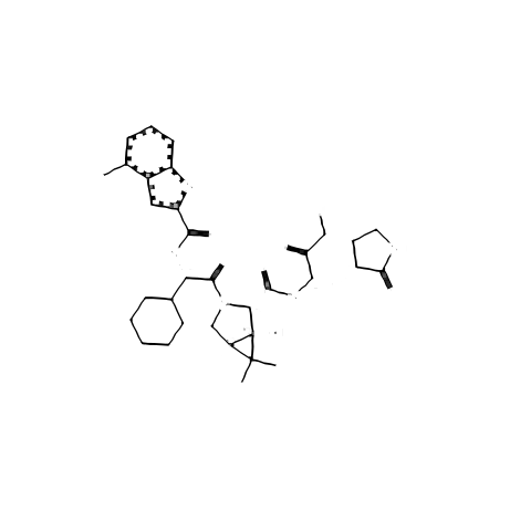 Cc1cccc2[nH]c(C(=O)N[C@H](C(=O)N3C[C@H]4[C@@H]([C@H]3C(=O)N[C@@H](C[C@@H]3CCNC3=O)C(=O)CO)C4(C)C)C3CCCCC3)cc12